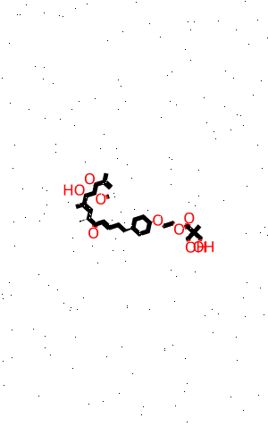 C=C(C)C(=O)[C@H](OC)[C@H](O)/C(C)=C/[C@@H](C)C(=O)/C=C/CC[C@H]1CC[C@H](OCCOC(=O)C(C)(CO)CO)CC1